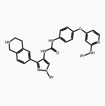 CC(C)Nc1cc(Oc2ccc(NC(=O)Nc3cn(C(C)C)nc3-c3ccc4c(c3)CCNC4)cc2)ccn1